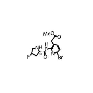 COC(=O)Cc1ccc(Br)nc1NC(=O)[C@@H]1C[C@@H](F)CN1